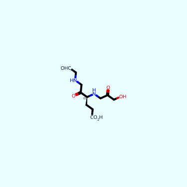 O=CCNCC(=O)[C@H](CCC(=O)O)NCC(=O)CO